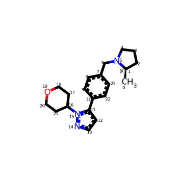 C[C@@H]1CCCN1Cc1ccc(-c2ccnn2C2CCOCC2)cc1